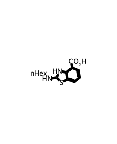 CCCCCCNC1NC2C(=CC=CC2C(=O)O)S1